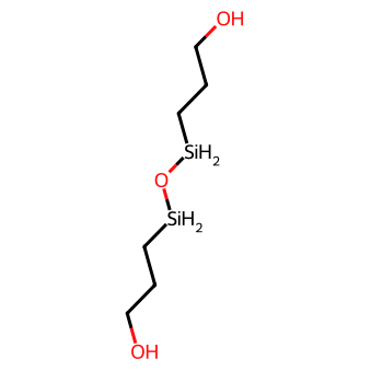 OCCC[SiH2]O[SiH2]CCCO